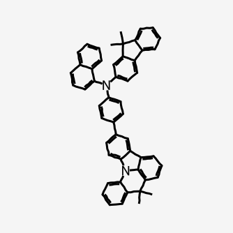 CC1(C)c2ccccc2-c2ccc(N(c3ccc(-c4ccc5c(c4)c4cccc6c4n5-c4ccccc4C6(C)C)cc3)c3cccc4ccccc34)cc21